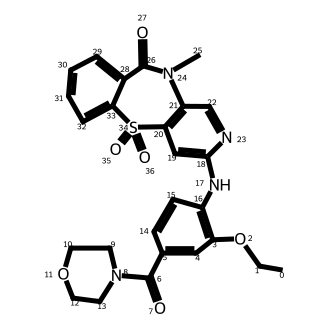 CCOc1cc(C(=O)N2CCOCC2)ccc1Nc1cc2c(cn1)N(C)C(=O)c1ccccc1S2(=O)=O